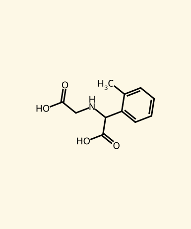 Cc1ccccc1C(NCC(=O)O)C(=O)O